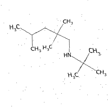 CC(C)CC(C)(C)CNC(C)(C)C